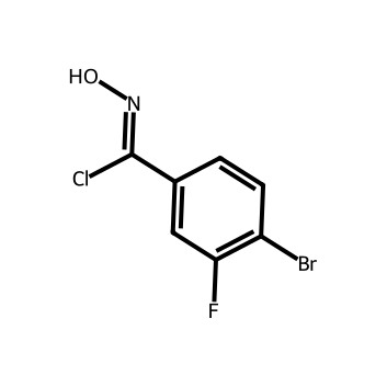 ON=C(Cl)c1ccc(Br)c(F)c1